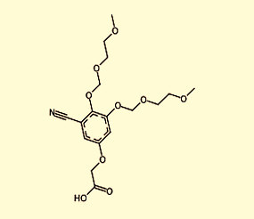 COCCOCOc1cc(OCC(=O)O)cc(C#N)c1OCOCCOC